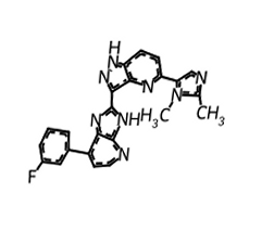 Cc1ncc(-c2ccc3[nH]nc(-c4nc5c(-c6cccc(F)c6)ccnc5[nH]4)c3n2)n1C